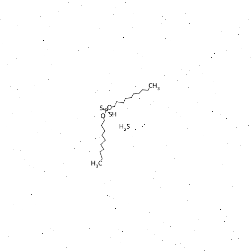 CCCCCCCCCCOP(=S)(S)OCCCCCCCCCC.S